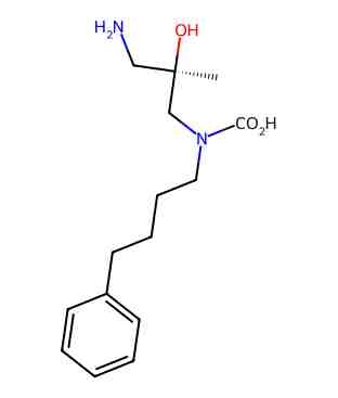 C[C@@](O)(CN)CN(CCCCc1ccccc1)C(=O)O